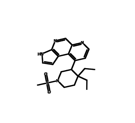 CCC1(CC)CCN(S(C)(=O)=O)CC1c1ccnc2cnc3[nH]ccc3c12